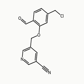 N#Cc1cncc(COc2cc(CCl)ccc2C=O)c1